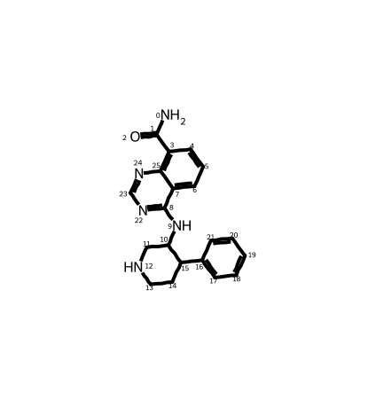 NC(=O)c1cccc2c(NC3CNCCC3c3ccccc3)ncnc12